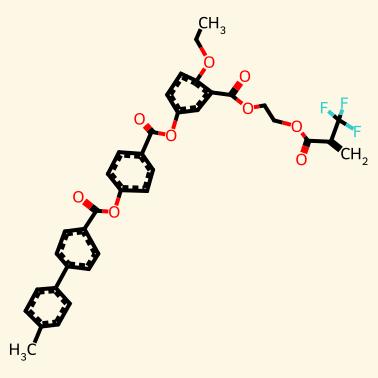 C=C(C(=O)OCCOC(=O)c1cc(OC(=O)c2ccc(OC(=O)c3ccc(-c4ccc(C)cc4)cc3)cc2)ccc1OCC)C(F)(F)F